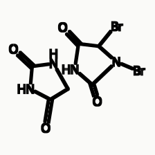 O=C1CNC(=O)N1.O=C1NC(=O)N(Br)C1Br